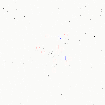 CCO[C@H](C)COCc1ccc([C@@]2(O)CCN(C(=O)OC(C)(C)C)C[C@@H]2OCc2ccc3c(c2)N(CCCOC)CCO3)c(OCCOC)c1